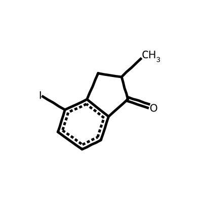 CC1Cc2c(I)cccc2C1=O